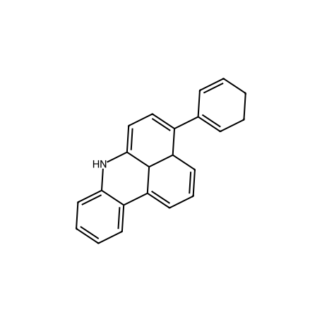 C1=CC2C(C3=CCCC=C3)=CC=C3Nc4ccccc4C(=C1)C32